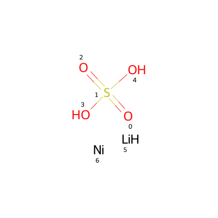 O=S(=O)(O)O.[LiH].[Ni]